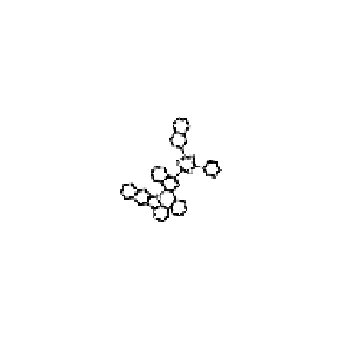 c1ccc(-c2nc(-c3ccc4ccccc4c3)nc(-c3cc(-c4ccccc4)c(-n4c5ccccc5c5cc6ccccc6cc54)c4ccccc34)n2)cc1